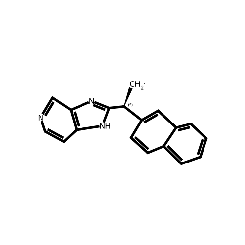 [CH2][C@@H](c1ccc2ccccc2c1)c1nc2cnccc2[nH]1